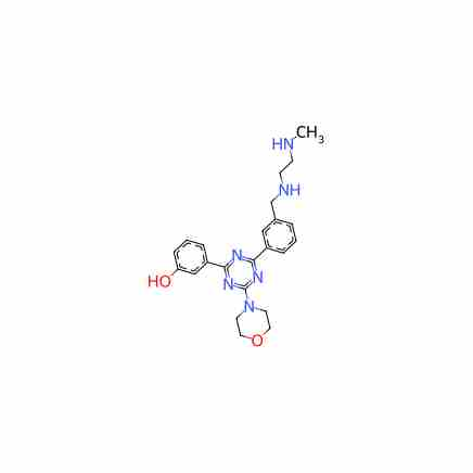 CNCCNCc1cccc(-c2nc(-c3cccc(O)c3)nc(N3CCOCC3)n2)c1